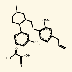 C=CCc1ccc(OCC2CN(C)CCC2c2cccc(C(F)(F)F)c2)c(OC)c1.O=C(O)C(=O)O